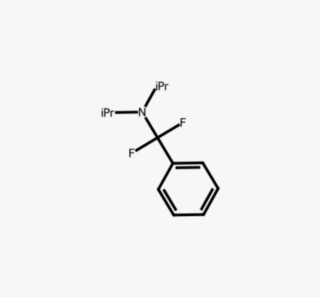 CC(C)N(C(C)C)C(F)(F)c1ccccc1